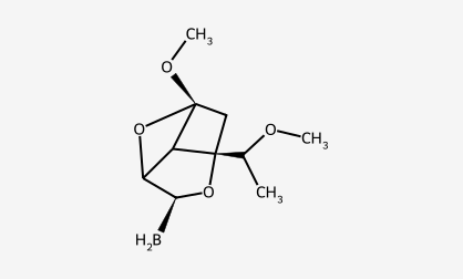 B[C@@H]1O[C@@]2(C(C)OC)C[C@@]3(OC)OC1C32